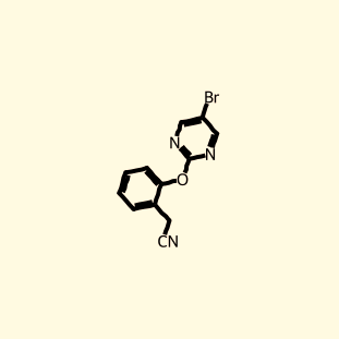 N#CCc1ccccc1Oc1ncc(Br)cn1